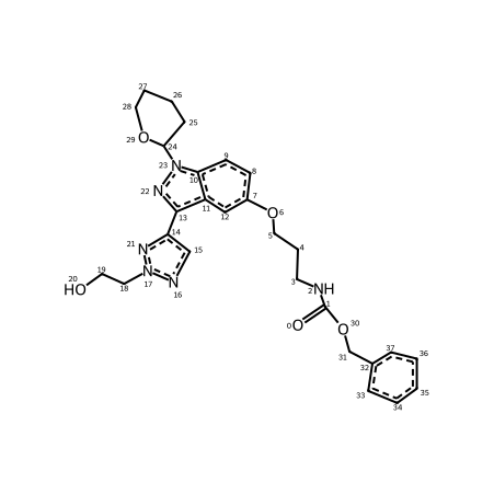 O=C(NCCCOc1ccc2c(c1)c(-c1cnn(CCO)n1)nn2C1CCCCO1)OCc1ccccc1